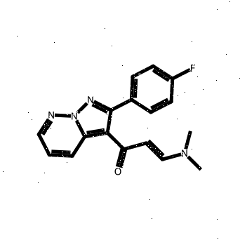 CN(C)C=CC(=O)c1c(-c2ccc(F)cc2)nn2ncccc12